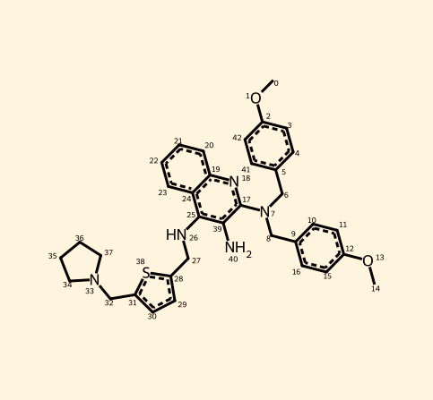 COc1ccc(CN(Cc2ccc(OC)cc2)c2nc3ccccc3c(NCc3ccc(CN4CCCC4)s3)c2N)cc1